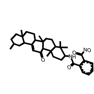 CC1CCC2(C)CCC3C(=CC(=O)C4C3(C)CCC3C(C)(C)C(NC(=O)c5ccccc5C(=O)N=O)CCC34C)C2C1